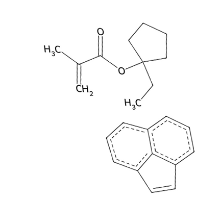 C1=Cc2cccc3cccc1c23.C=C(C)C(=O)OC1(CC)CCCC1